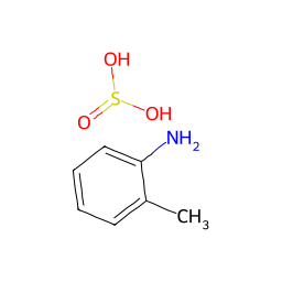 Cc1ccccc1N.O=S(O)O